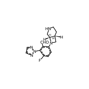 O=Cc1c(N2C[C@H]3CCNC[C@H]32)ccc(F)c1-n1nccn1